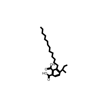 CCCCCCCCCCCCCCc1c(C(C)CC)ccc(C(=O)O)c1C(=O)O